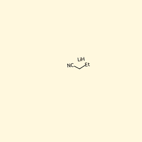 CCCC#N.[LiH]